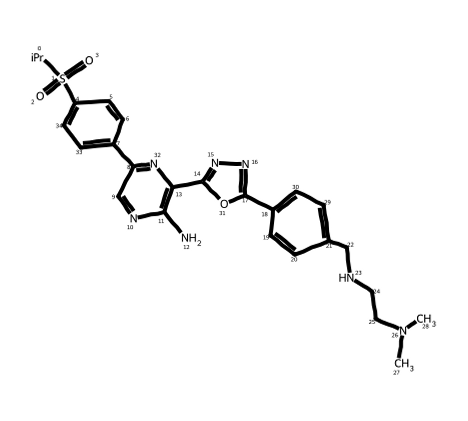 CC(C)S(=O)(=O)c1ccc(-c2cnc(N)c(-c3nnc(-c4ccc(CNCCN(C)C)cc4)o3)n2)cc1